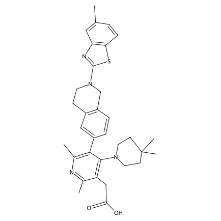 Cc1ccc2sc(N3CCc4cc(-c5c(C)nc(C)c(CC(=O)O)c5N5CCC(C)(C)CC5)ccc4C3)nc2c1